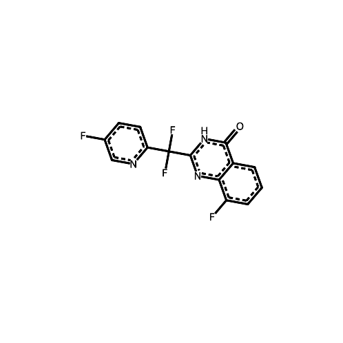 O=c1[nH]c(C(F)(F)c2ccc(F)cn2)nc2c(F)cccc12